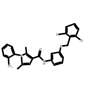 Cc1cc(C(=O)Nc2cccc(OCc3c(Cl)cccc3Cl)c2)c(C)n1-c1ccccc1C(F)(F)F